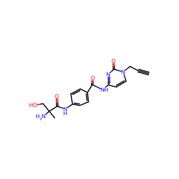 C#CCn1ccc(NC(=O)c2ccc(NC(=O)C(C)(N)CO)cc2)nc1=O